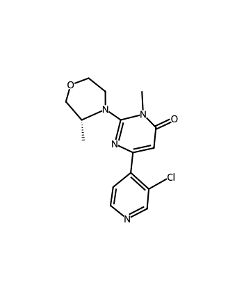 C[C@@H]1COCCN1c1nc(-c2ccncc2Cl)cc(=O)n1C